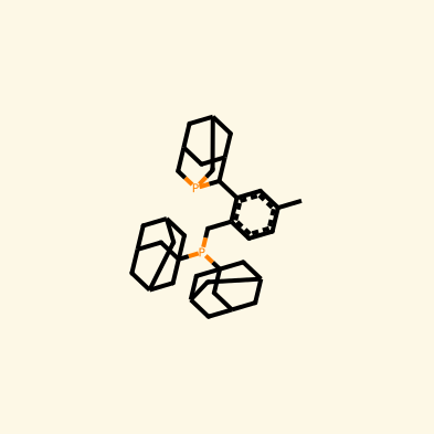 Cc1ccc(CP(C23CC4CC(CC(C4)C2)C3)C23CC4CC(CC(C4)C2)C3)c(C2C3CC4CC(C3)CP2C4)c1